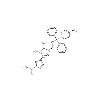 COc1ccc(C(OC[C@H]2O[C@@H](n3cnc(C(N)=O)n3)[C@H](O)[C@@H]2O)(c2ccccc2)c2ccccc2)cc1